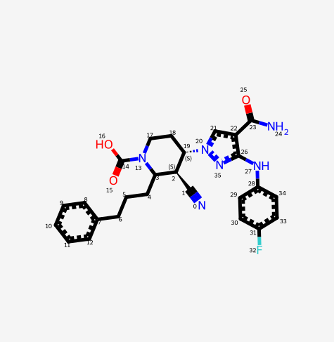 N#C[C@H]1C(CCCc2ccccc2)N(C(=O)O)CC[C@@H]1n1cc(C(N)=O)c(Nc2ccc(F)cc2)n1